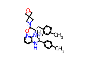 Cc1ccc(C[C@H](Nc2ncccc2NC(C)c2ccc(C)cc2)C(=O)N2CC3(COC3)C2)cc1